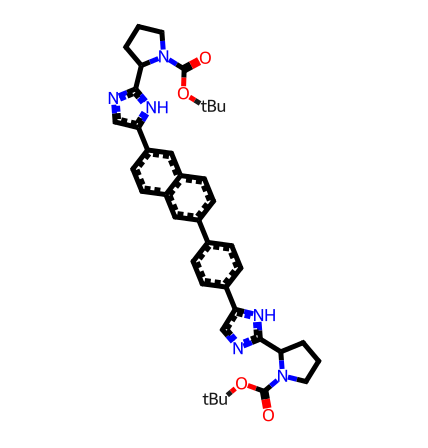 CC(C)(C)OC(=O)N1CCCC1c1ncc(-c2ccc(-c3ccc4cc(-c5cnc(C6CCCN6C(=O)OC(C)(C)C)[nH]5)ccc4c3)cc2)[nH]1